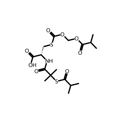 CC(C)C(=O)OCOC(=O)SC[C@H](NC(=O)C(C)(C)SC(=O)C(C)C)C(=O)O